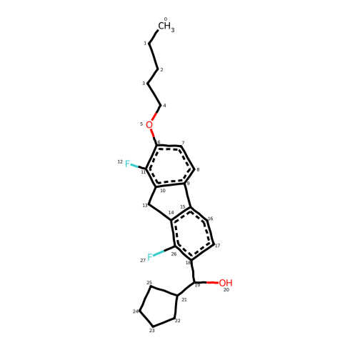 CCCCCOc1ccc2c(c1F)Cc1c-2ccc(C(O)C2CCCC2)c1F